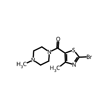 Cc1nc(Br)sc1C(=O)N1CCN(C)CC1